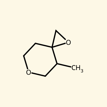 CC1COCCC12CO2